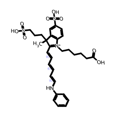 CC1(CCCS(=O)(=O)O)C(/C=C/C=C/C=C/Nc2ccccc2)=[N+](CCCCCC(=O)O)c2ccc(S(=O)(=O)O)cc21